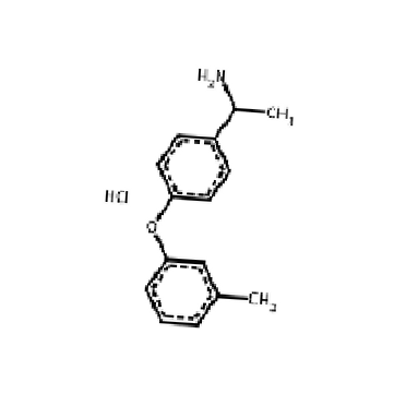 Cc1cccc(Oc2ccc(C(C)N)cc2)c1.Cl